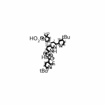 CC(C)(C)c1ccnc(C(CC[C@@H]2CN(C(=O)O)C(C)(C)C2)Nc2cccc(S(=O)(=O)NC(=O)c3ccc(C(C)(C)C)nc3F)n2)c1